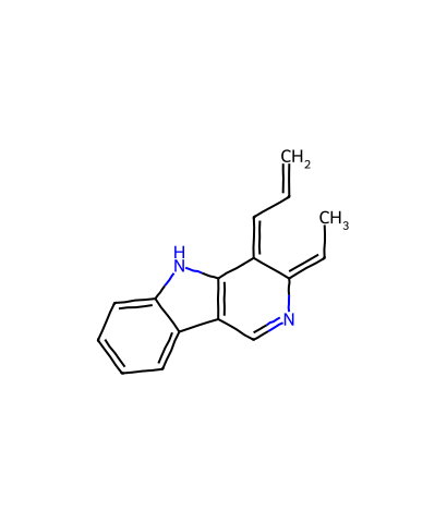 C=C/C=c1\c(=C/C)ncc2c1[nH]c1ccccc12